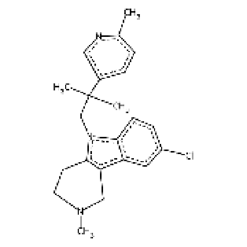 Cc1ccc(C(C)(C)Cn2c3c(c4cc(Cl)ccc42)CN(C)CC3)cn1